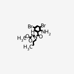 CCCCN(NC(=O)OC)C(=O)c1cc(Br)cc(Br)c1N